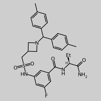 CC[C@H](NC(=O)c1cc(F)cc(NS(=O)(=O)CC2CN(C(c3ccc(C)cc3)c3ccc(C)cc3)C2)c1)C(N)=O